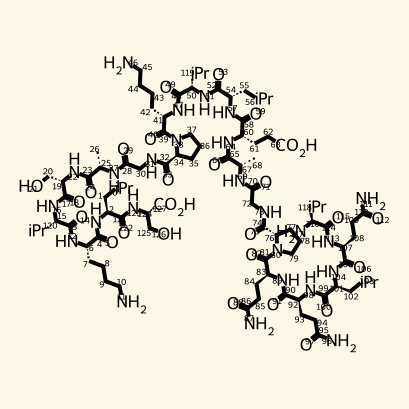 CC(C)C[C@H](NC(=O)[C@H](CCCCN)NC(=O)[C@@H](NC(=O)[C@H](CO)NC(=O)[C@H](C)NC(=O)CNC(=O)[C@@H]1CCCN1C(=O)[C@H](CCCCN)NC(=O)[C@@H](NC(=O)[C@H](CC(C)C)NC(=O)[C@H](CCC(=O)O)NC(=O)[C@H](C)NC(=O)CNC(=O)[C@@H]1CCCN1C(=O)[C@H](CCC(N)=O)NC(=O)[C@H](CCC(N)=O)NC(=O)[C@H](CC(C)C)NC(=O)[C@H](CCC(N)=O)NC(=O)[C@@H](N)C(C)C)C(C)C)C(C)C)C(=O)N[C@@H](CO)C(=O)O